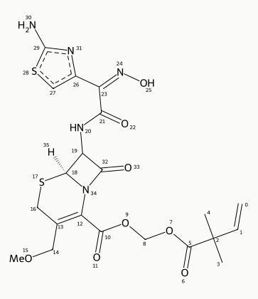 C=CC(C)(C)C(=O)OCOC(=O)C1=C(COC)CS[C@H]2C(NC(=O)/C(=N\O)c3csc(N)n3)C(=O)N12